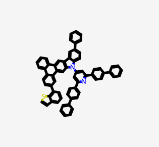 c1ccc(-c2ccc(-c3cc(-n4c5ccc(-c6ccccc6)cc5c5cc6c7ccccc7c7ccc(-c8cccc9ccsc89)cc7c6cc54)cc(-c4ccc(-c5ccccc5)cc4)n3)cc2)cc1